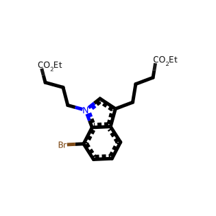 CCOC(=O)CCCc1cn(CCCC(=O)OCC)c2c(Br)cccc12